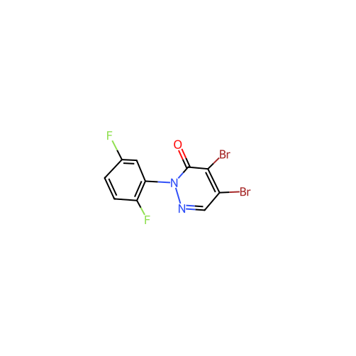 O=c1c(Br)c(Br)cnn1-c1cc(F)ccc1F